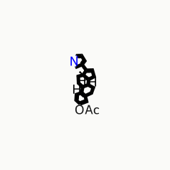 CC(=O)Oc1ccc2c(c1)CC[C@@H]1[C@@H]2CC[C@]2(C)C(c3cccnc3)=CC[C@@H]12